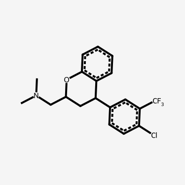 CN(C)CC1CC(c2ccc(Cl)c(C(F)(F)F)c2)c2ccccc2O1